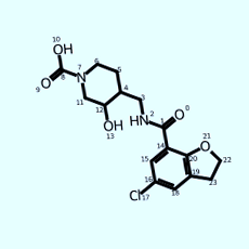 O=C(NCC1CCN(C(=O)O)CC1O)c1cc(Cl)cc2c1OCC2